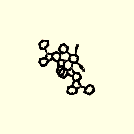 N#Cc1cc(C#N)c(-n2c3ccccc3c3c4c5ccccc5n(-c5ccccc5)c4ccc32)c(-n2c3ccccc3c3c4c5ccccc5n(-c5ccccc5)c4ccc32)c1-c1ccccc1